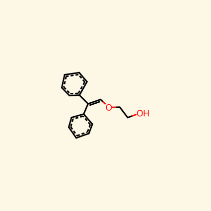 OCCOC=C(c1ccccc1)c1ccccc1